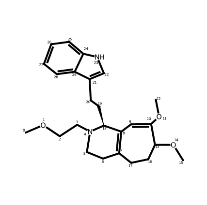 COCCN1CCC2=C(C=C(OC)C(OC)CC2)[C@@H]1CCc1c[nH]c2ccccc12